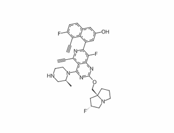 C#Cc1c(F)ccc2cc(O)cc(-c3nc(C#C)c4c(N5CCNC[C@@H]5C)nc(OC[C@@]56CCCN5C[C@H](F)C6)nc4c3F)c12